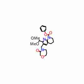 COC(OC)c1nc2c(cc1CN1CCCOCC1=O)CCCN2C(=O)Oc1ccccc1